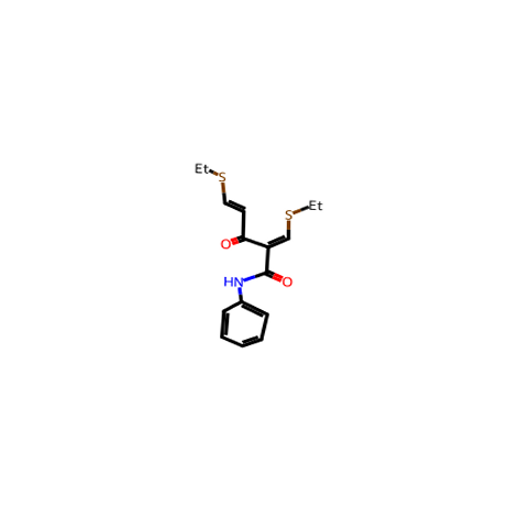 CCSC=CC(=O)C(=CSCC)C(=O)Nc1ccccc1